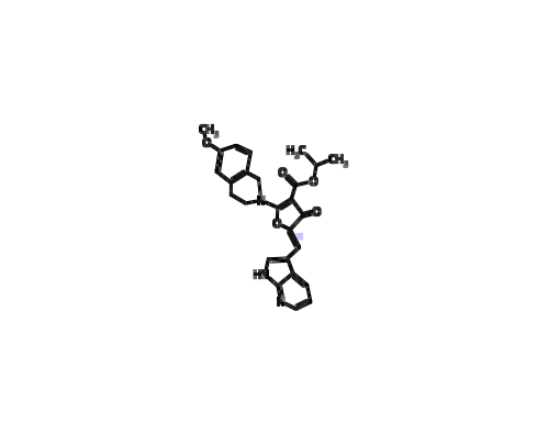 COc1ccc2c(c1)CCN(C1=C(C(=O)OC(C)C)C(=O)/C(=C/c3c[nH]c4ncccc34)O1)C2